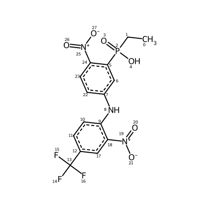 CCP(=O)(O)c1cc(Nc2ccc(C(F)(F)F)cc2[N+](=O)[O-])ccc1[N+](=O)[O-]